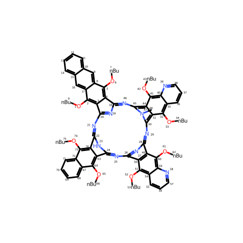 CCCCOc1c2c(c(OCCCC)c3cc4ccccc4cc13)-c1nc-2nc2[nH]c(nc3nc(nc4c5c(OCCCC)c6cccnc6c(OCCCC)c5c(n1)n4C)-c1c-3c(OCCCC)c3cccnc3c1OCCCC)c1c(OCCCC)c3ccccc3c(OCCCC)c21